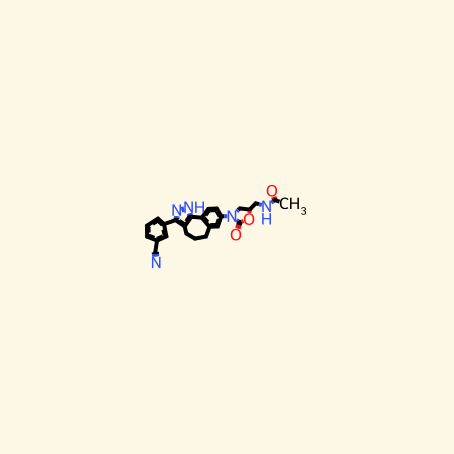 CC(=O)NCC1CN(c2ccc3c(c2)CCCc2c(-c4cccc(C#N)c4)n[nH]c2-3)C(=O)O1